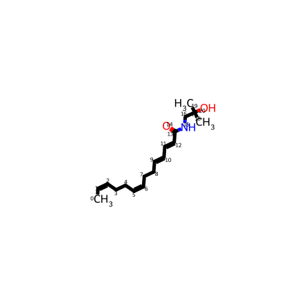 C/C=C\CC/C=C\CC/C=C/C=C/C(=O)NCC(C)(C)O